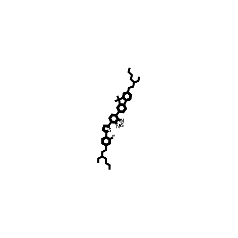 CCCCC(CC)CCc1ccc(-c2ccc(-c3ccc(-c4ccc5c(c4)C(C)(C)c4cc(CCC(CC)CCCC)ccc4-5)c4nsnc34)s2)c(F)c1